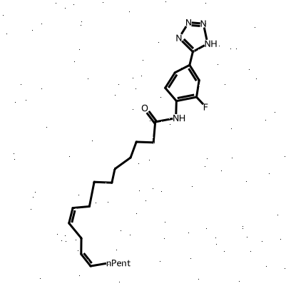 CCCCC/C=C\C/C=C\CCCCCCCC(=O)Nc1ccc(-c2nnn[nH]2)cc1F